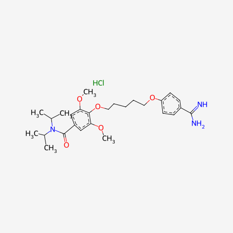 COc1cc(C(=O)N(C(C)C)C(C)C)cc(OC)c1OCCCCCOc1ccc(C(=N)N)cc1.Cl